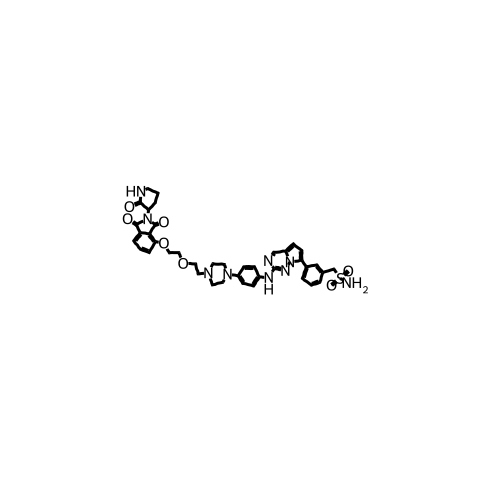 NS(=O)(=O)Cc1cccc(-c2ccc3cnc(Nc4ccc(N5CCN(CCOCCOc6cccc7c6C(=O)N(C6CCCNC6=O)C7=O)CC5)cc4)nn23)c1